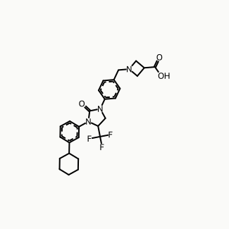 O=C(O)C1CN(Cc2ccc(N3CC(C(F)(F)F)N(c4cccc(C5CCCCC5)c4)C3=O)cc2)C1